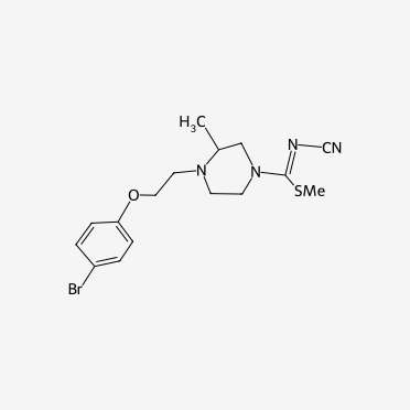 CSC(=NC#N)N1CCN(CCOc2ccc(Br)cc2)C(C)C1